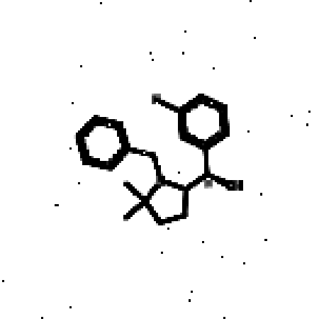 CC1(C)CCC([C@H](O)c2cccc(F)c2)N1Cc1ccccc1